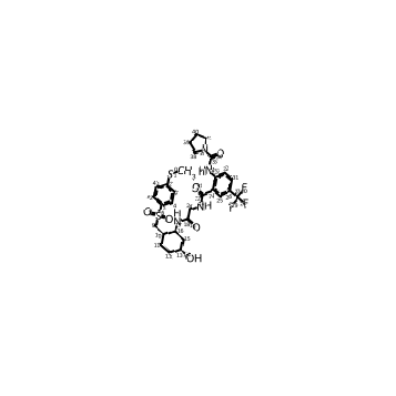 CSc1ccc(S(=O)(=O)C[C@@H]2CC[C@H](O)C[C@@H]2NC(=O)CNC(=O)c2cc(C(F)(F)F)ccc2NC(=O)N2CCCC2)cc1